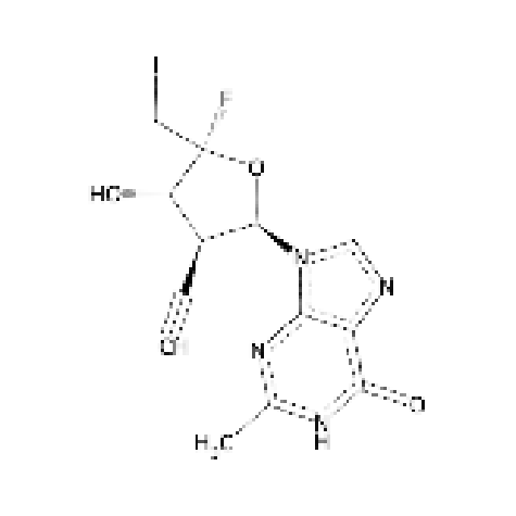 C#C[C@@H]1[C@H](n2cnc3c(=O)[nH]c(C)nc32)O[C@](F)(CI)[C@H]1O